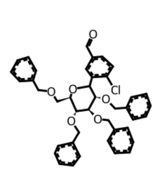 O=Cc1ccc(Cl)c(C2O[C@H](COCc3ccccc3)[C@@H](OCc3ccccc3)[C@H](OCc3ccccc3)[C@H]2OCc2ccccc2)c1